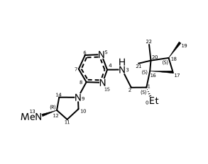 CC[C@H](CNc1nccc(N2CC[C@@H](NC)C2)n1)[C@@H]1C[C@H](C)C1(C)C